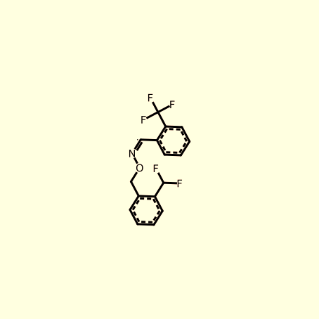 FC(F)c1ccccc1CO/N=[C]\c1ccccc1C(F)(F)F